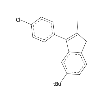 CC1=C(c2ccc(Cl)cc2)c2cc(C(C)(C)C)ccc2C1